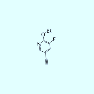 C#Cc1cnc(OCC)c(F)c1